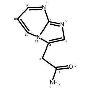 NC(=O)Cc1cnc2ncccn12